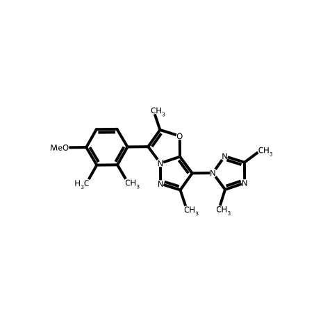 COc1ccc(-c2c(C)oc3c(-n4nc(C)nc4C)c(C)nn23)c(C)c1C